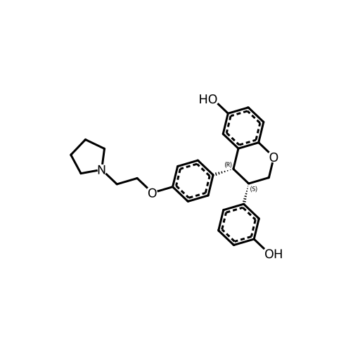 Oc1cccc([C@H]2COc3ccc(O)cc3[C@H]2c2ccc(OCCN3CCCC3)cc2)c1